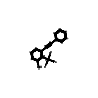 Oc1cccc(C#Cc2ccccc2)c1C(F)(F)F